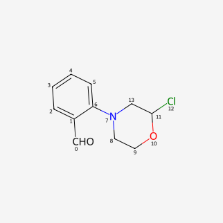 O=Cc1ccccc1N1CCOC(Cl)C1